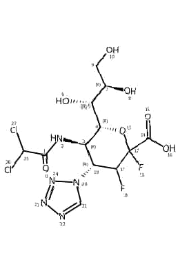 O=C(N[C@H]1[C@H]([C@H](O)[C@H](O)CO)OC(F)(C(=O)O)C(F)[C@@H]1n1cnnn1)C(Cl)Cl